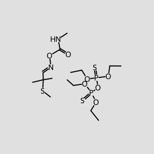 CCOP(=S)(OCC)OP(=S)(OCC)OCC.CNC(=O)O/N=C/C(C)(C)SC